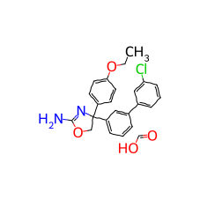 CCOc1ccc(C2(c3cccc(-c4cccc(Cl)c4)c3)COC(N)=N2)cc1.O=CO